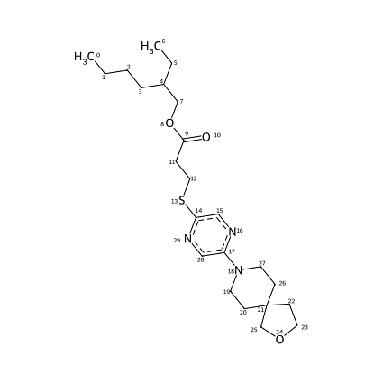 CCCCC(CC)COC(=O)CCSc1cnc(N2CCC3(CCOC3)CC2)cn1